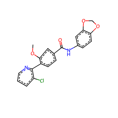 COc1cc(C(=O)Nc2ccc3c(c2)OCO3)ccc1-c1ncccc1Cl